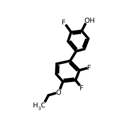 CCOc1ccc(-c2ccc(O)c(F)c2)c(F)c1F